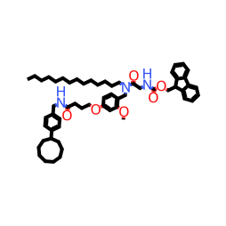 CCCCCCCCCCCCCCN(Cc1ccc(OCCCC(=O)NCc2ccc(C3CCCCCCCC3)cc2)cc1OC)C(=O)CNC(=O)OCC1c2ccccc2-c2ccccc21